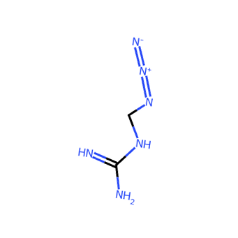 [N-]=[N+]=NCNC(=N)N